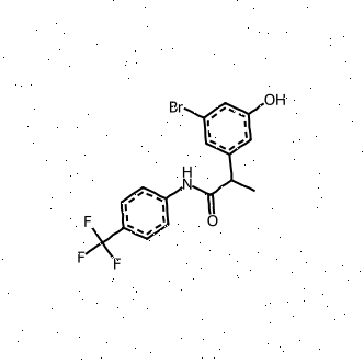 CC(C(=O)Nc1ccc(C(F)(F)F)cc1)c1cc(O)cc(Br)c1